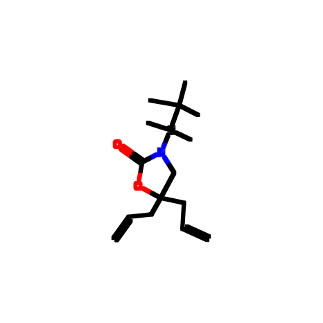 C=CCC1(CC=C)CN([Si](C)(C)C(C)(C)C)C(=O)O1